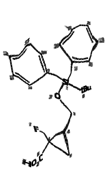 CC(C)(C)[Si](OCC1CC1(F)C(=O)O)(c1ccccc1)c1ccccc1